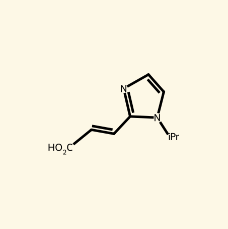 CC(C)n1ccnc1C=CC(=O)O